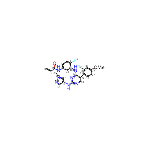 C=CC(=O)Nc1ccc(F)c(Nc2nc(Nc3cnn(C)c3)ncc2-c2ccc(OC)cc2F)c1